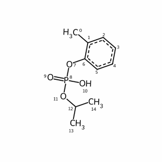 Cc1ccccc1OP(=O)(O)OC(C)C